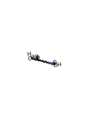 CCCCCC(CCCCCCC/C=C/C=C/C(=O)O)OO